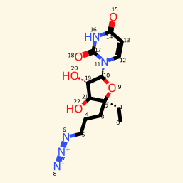 CC[C@@]1(CCCN=[N+]=[N-])O[C@@H](n2ccc(=O)[nH]c2=O)[C@@H](O)C1O